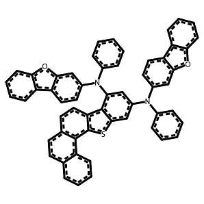 c1ccc(N(c2ccc3c(c2)oc2ccccc23)c2cc(N(c3ccccc3)c3ccc4c(c3)oc3ccccc34)c3c(c2)sc2c3ccc3ccc4ccccc4c32)cc1